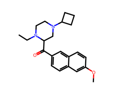 CCN1CCN(C2CCC2)CC1C(=O)c1ccc2cc(OC)ccc2c1